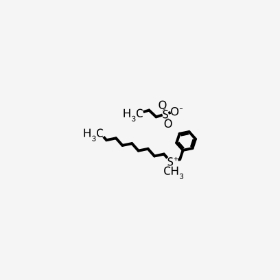 CCCCCCCCC[S+](C)Cc1ccccc1.CCCS(=O)(=O)[O-]